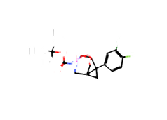 CC(C)(C)OC(=O)N1CCC2(c3ccc(F)c(Cl)c3)CC2(CO)C1